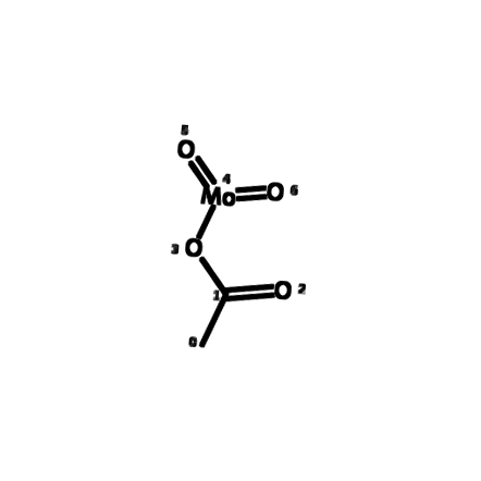 CC(=O)[O][Mo](=[O])=[O]